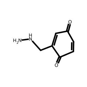 NNCC1=CC(=O)C=CC1=O